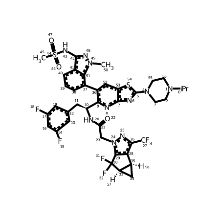 CC(C)N1CCN(c2nc3nc([C@H](Cc4cc(F)cc(F)c4)NC(=O)Cn4nc(C(F)(F)F)c5c4C(F)(F)[C@@H]4C[C@H]54)c(-c4cccc5c(NS(C)(=O)=O)nn(C)c45)cc3s2)CC1